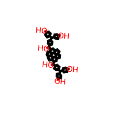 Oc1ccc(C(c2ccc(O)cc2)c2ccc(C(O)c3cc4ccc5ccc6cc(C(O)c7ccc(C(c8ccc(O)cc8)c8ccc(O)cc8)cc7)c7ccc8ccc3c3c4c5c6c7c83)cc2)cc1